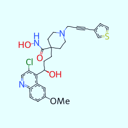 COc1ccc2ncc(Cl)c([C@H](O)CCC3(C(=O)NO)CCN(CC#Cc4ccsc4)CC3)c2c1